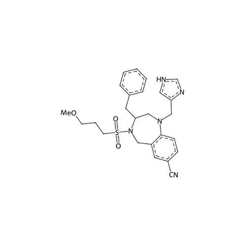 COCCCS(=O)(=O)N1Cc2cc(C#N)ccc2N(Cc2c[nH]cn2)CC1Cc1ccccc1